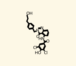 O=C(Nc1cccc2ncn(Cc3ccc(CCCO)cc3)c(=O)c12)c1cc(Cl)c(O)c(Cl)c1